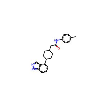 Cc1ccc(NC(=O)CC2CCC(c3cccc4[nH]ncc34)CC2)cc1